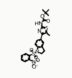 Cc1sc(NC(=O)OC(C)(C)C)nc1-c1ccc2c(c1)CCN2S(=O)(=O)c1ccccc1[N+](=O)[O-]